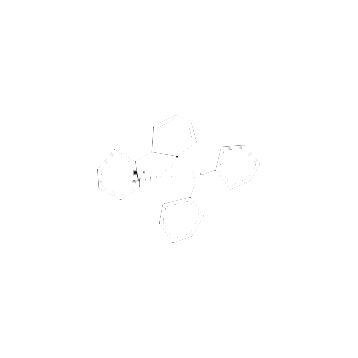 COC1(P(c2ccccc2)c2ccccc2)C=CC=CC1c1ccccc1